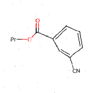 CC(C)OC(=O)c1cccc(C#N)c1